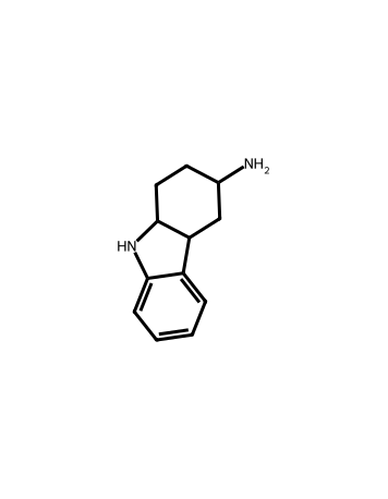 NC1CCC2Nc3ccccc3C2C1